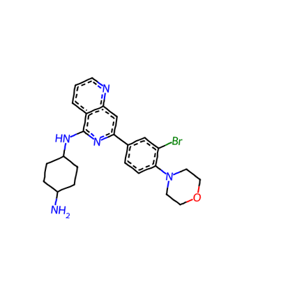 NC1CCC(Nc2nc(-c3ccc(N4CCOCC4)c(Br)c3)cc3ncccc23)CC1